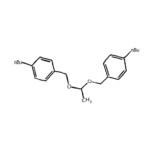 CCCCc1ccc(COC(C)OCc2ccc(CCCC)cc2)cc1